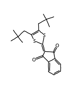 CC(C)(C)CC1=C(CC(C)(C)C)SC(=C2C(=O)c3ccccc3C2=O)S1